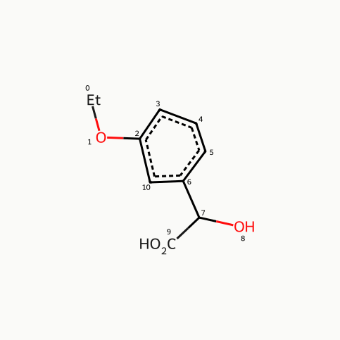 CCOc1cccc(C(O)C(=O)O)c1